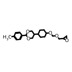 Cc1ccc(C2OCC(C3CCC(OCOCC4CO4)CC3)CO2)cc1